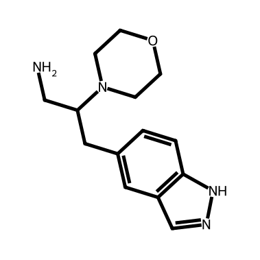 NCC(Cc1ccc2[nH]ncc2c1)N1CCOCC1